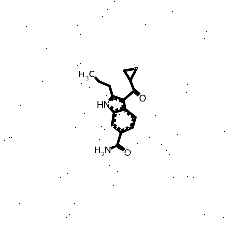 CCCc1[nH]c2cc(C(N)=O)ccc2c1C(=O)C1CC1